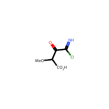 COC(C(=O)O)C(=O)C(=N)Cl